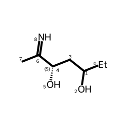 CCC(O)C[C@H](O)C(C)=N